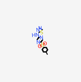 Cc1ccc(S(=O)(=O)c2cnc(Nc3nncs3)cn2)cc1